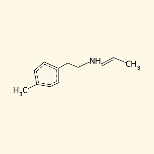 CC=CNCCc1ccc(C)cc1